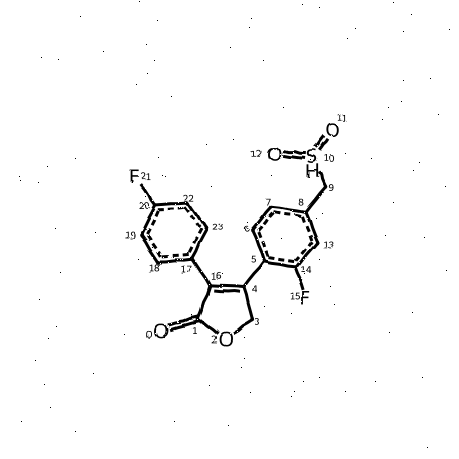 O=C1OCC(c2ccc(C[SH](=O)=O)cc2F)=C1c1ccc(F)cc1